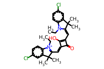 CCN1/C(=C\C2=C(O)C(=C\C3=[N+](CC)c4ccc(Cl)cc4C3(C)C)/C2=O)C(C)(C)c2cc(Cl)ccc21